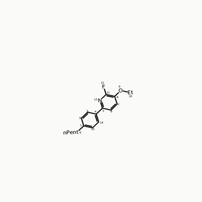 CCCCCc1ccc(-c2ccc(OCC)c(F)n2)cc1